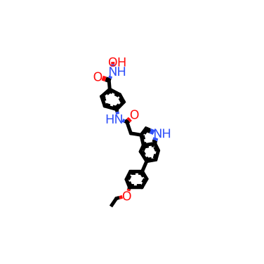 CCOc1ccc(-c2ccc3[nH]cc(CC(=O)Nc4ccc(C(=O)NO)cc4)c3c2)cc1